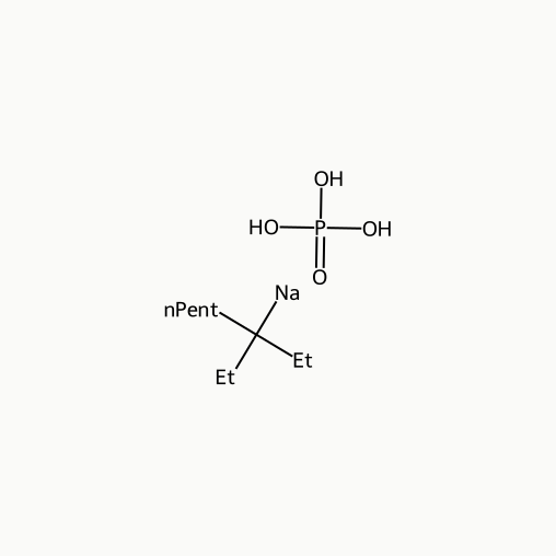 CCCCC[C]([Na])(CC)CC.O=P(O)(O)O